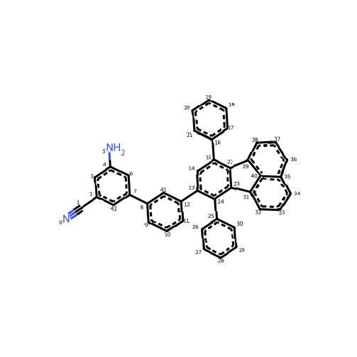 N#Cc1cc(N)cc(-c2cccc(-c3cc(-c4ccccc4)c4c(c3-c3ccccc3)-c3cccc5cccc-4c35)c2)c1